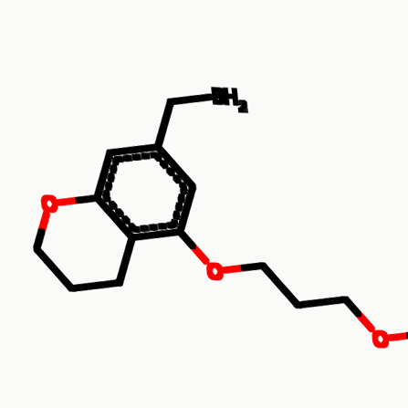 BCc1cc(OCCCOC)c2c(c1)OCCC2